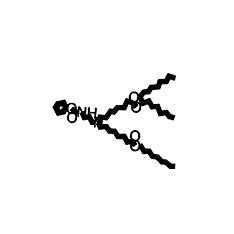 CCCCCCCCCOC(=O)CCCCCCCN(CCCCCCCC(=O)OC(CCCCCCCC)CCCCCCCC)CCCNC(=O)Oc1ccccc1